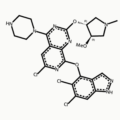 CO[C@@H]1CN(C)C[C@H]1Oc1nc(N2CCNCC2)c2cc(Cl)nc(Oc3c(Cl)c(Cl)cc4[nH]ncc34)c2n1